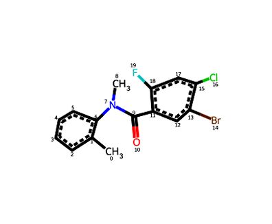 Cc1ccccc1N(C)C(=O)c1cc(Br)c(Cl)cc1F